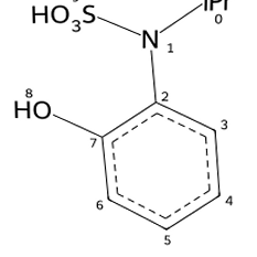 CC(C)N(c1ccccc1O)S(=O)(=O)O